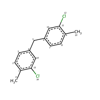 Cc1ccc(Cc2ccc(C)c(Cl)c2)cc1Cl